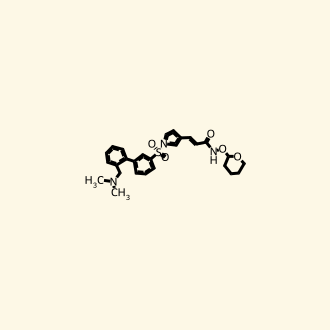 CN(C)Cc1ccccc1-c1cccc(S(=O)(=O)n2ccc(C=CC(=O)NOC3CCCCO3)c2)c1